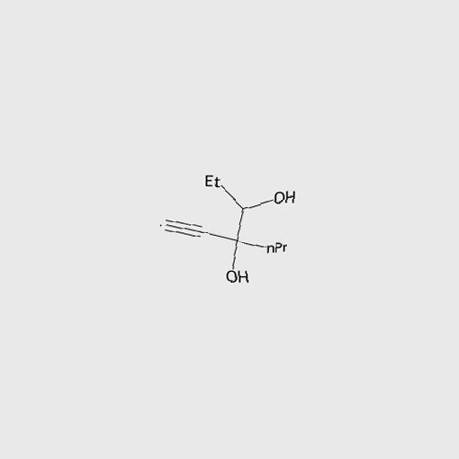 [C]#CC(O)(CCC)C(O)CC